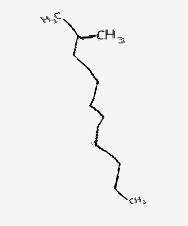 CCC[CH]CCCCC(C)C